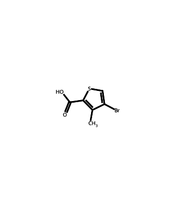 Cc1c(Br)csc1C(=O)O